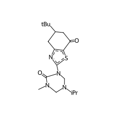 CC(C)N1CN(C)C(=O)N(c2nc3c(s2)C(=O)CC(C(C)(C)C)C3)C1